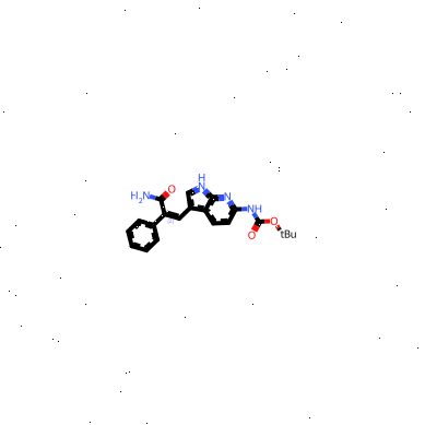 CC(C)(C)OC(=O)Nc1ccc2c(/C=C(\C(N)=O)c3ccccc3)c[nH]c2n1